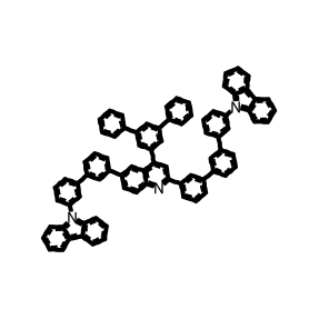 c1ccc(-c2cc(-c3ccccc3)cc(-c3cc(-c4cccc(-c5cccc(-c6cccc(-n7c8ccccc8c8ccccc87)c6)c5)c4)nc4ccc(-c5cccc(-c6cccc(-n7c8ccccc8c8ccccc87)c6)c5)cc34)c2)cc1